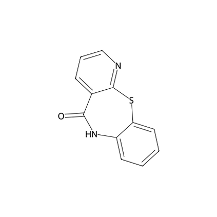 O=C1Nc2ccccc2Sc2ncccc21